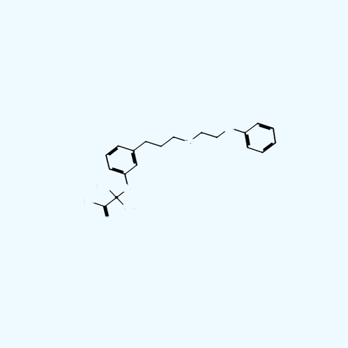 CC(C)(Oc1cccc(CCCNCCOc2ccccc2)c1)C(=O)O